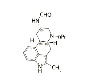 CCCN1C[C@@H](NC=O)C[C@@H]2c3cccc4[nH]c(C)c(c34)C[C@H]21